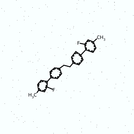 Cc1ccc(-c2ccc(CCc3ccc(-c4ccc(C)cc4F)cc3)cc2)c(F)c1